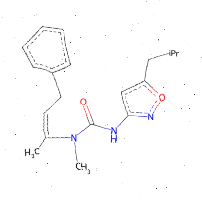 CC(=CCc1ccccc1)N(C)C(=O)Nc1cc(CC(C)C)on1